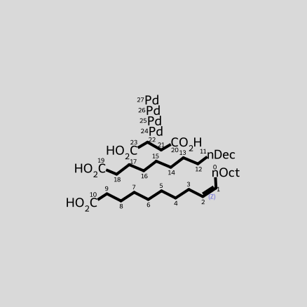 CCCCCCCC/C=C\CCCCCCCC(=O)O.CCCCCCCCCCCCCCCCCC(=O)O.O=C(O)CCC(=O)O.[Pd].[Pd].[Pd].[Pd]